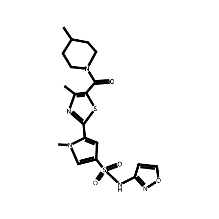 Cc1nc(-c2cc(S(=O)(=O)Nc3ccon3)cn2C)sc1C(=O)N1CCC(C)CC1